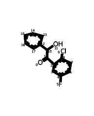 O=C(c1cc(F)ccc1Cl)C(O)c1ccccc1